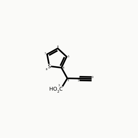 C#CC(C(=O)O)c1cccs1